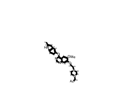 COc1cc2c(Oc3ccc4[nH]c(C)cc4c3)ncnc2cc1OCCN1CCN(CC(C)=O)CC1